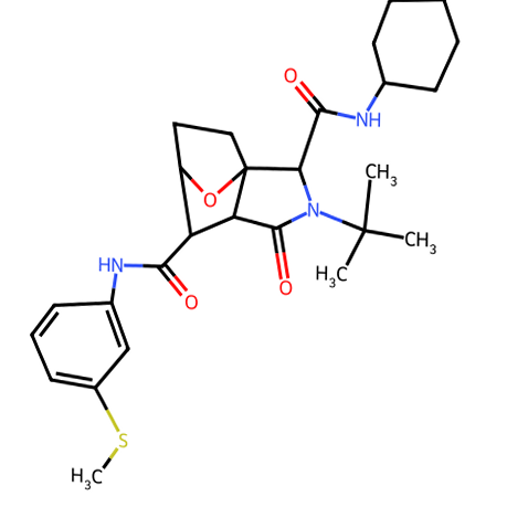 CSc1cccc(NC(=O)C2C3CCC4(O3)C2C(=O)N(C(C)(C)C)C4C(=O)NC2CCCCC2)c1